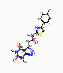 CC1C=CC(c2csc(NC(=O)Cc3n[nH]c4c3c(=O)n(C)c(=O)n4C)n2)=CC1